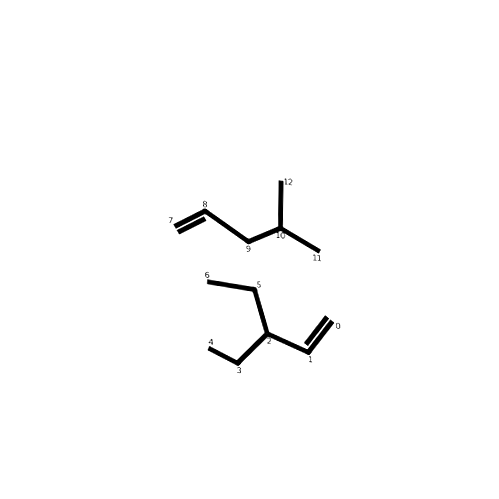 C=CC(CC)CC.C=CCC(C)C